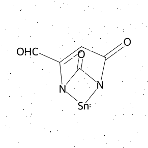 O=Cc1cc(=O)[n]2c(=O)[n]1[Sn]2